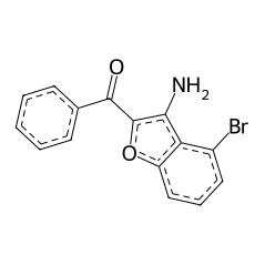 Nc1c(C(=O)c2ccccc2)oc2cccc(Br)c12